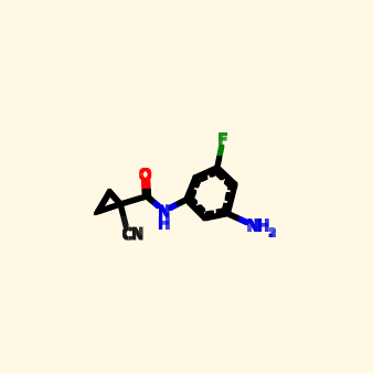 N#CC1(C(=O)Nc2cc(N)cc(F)c2)CC1